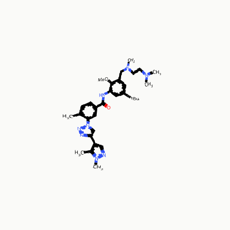 COc1c(CN(C)CCN(C)C)cc(C(C)(C)C)cc1NC(=O)c1ccc(C)c(-n2cc(-c3cnn(C)c3C)nn2)c1